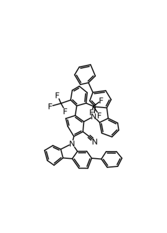 N#Cc1c(-n2c3ccccc3c3ccc(-c4ccccc4)cc32)ccc(-c2c(C(F)(F)F)cccc2C(F)(F)F)c1-n1c2ccccc2c2ccc(-c3ccccc3)cc21